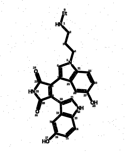 CCNCCCn1cc(C2=C(c3c[nH]c4ccc(O)cc34)C(=O)NC2=O)c2cc(O)ccc21